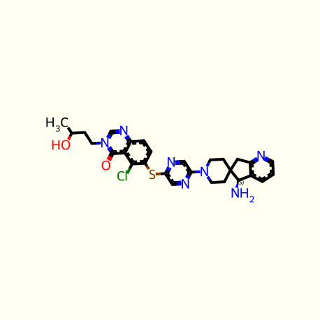 CC(O)CCn1cnc2ccc(Sc3cnc(N4CCC5(CC4)Cc4ncccc4[C@H]5N)cn3)c(Cl)c2c1=O